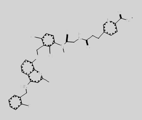 CNC(=O)c1ccc(CCC(=O)NCC(=O)N(C)c2ccc(Cl)c(COc3cccc4c(NCc5ccccc5F)cc(C)nc34)c2Cl)cn1